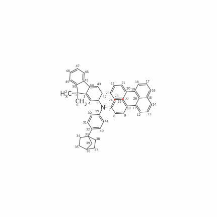 CC1(C)C2=CC(N(c3ccc(-c4cccc5cccc(-c6ccccc6)c45)cc3)c3ccc(C45CCC(CC4)C5)cc3)CC=C2c2ccccc21